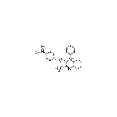 CCN(CC)c1ccc(/C=C/c2c(C)nc3ccccc3[n+]2-c2ccccc2)cc1